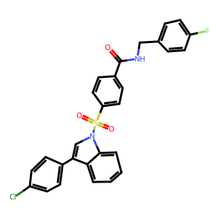 O=C(NCc1ccc(F)cc1)c1ccc(S(=O)(=O)n2cc(-c3ccc(Cl)cc3)c3ccccc32)cc1